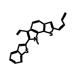 C=C/C=C\c1cc2ccc3c(C=C)c(-c4cc5ccccc5s4)n(C)c3c2s1